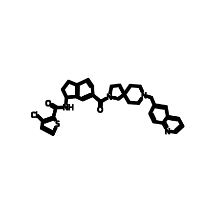 O=C(NC1CCc2ccc(C(=O)N3CCC4(CCN(Cc5ccc6ncccc6c5)CC4)C3)cc21)c1sccc1Cl